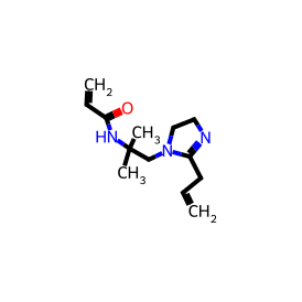 C=CCC1=NCCN1CC(C)(C)NC(=O)C=C